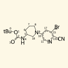 CC(C)(C)OC(=O)NC1CCCN(c2cnc(C#N)c(Br)c2)C1